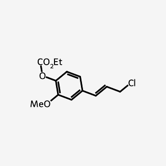 CCOC(=O)Oc1ccc(/C=C/CCl)cc1OC